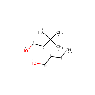 CC(C)(C)CCO.CCCCO